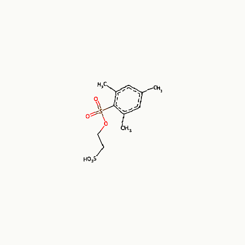 Cc1cc(C)c(S(=O)(=O)OCCS(=O)(=O)O)c(C)c1